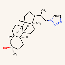 C[C@@H](Cn1ccnn1)C1CC[C@H]2[C@@H]3CC[C@H]4C[C@](C)(O)CC[C@@H]4[C@H]3CC[C@]12C